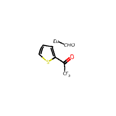 O=C(c1cccs1)C(F)(F)F.O=[CH][Eu]